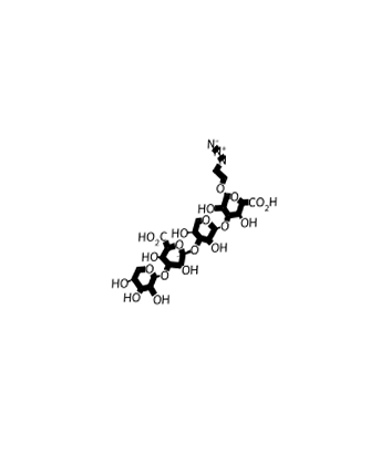 [N-]=[N+]=NCCO[C@@H]1OC(C(=O)O)[C@@H](O)C(O[C@H]2OC[C@@H](O)C(O[C@@H]3OC(C(=O)O)[C@@H](O)C(O[C@H]4OC[C@@H](O)C(O)C4O)C3O)C2O)C1O